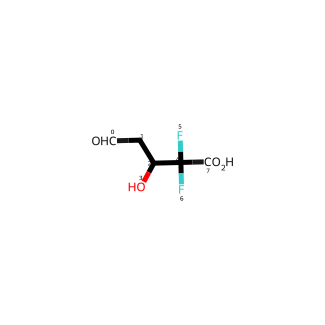 O=CCC(O)C(F)(F)C(=O)O